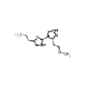 CCCc1c[nH]c(-c2c[nH]nc2CCOC)n1